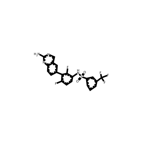 Nc1ncc2cc(-c3c(F)ccc(NS(=O)(=O)c4cccc(C(F)(F)F)c4)c3F)ccc2n1